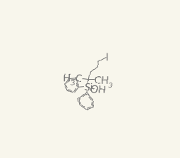 CC(C)(CCCI)[Si](O)(c1ccccc1)c1ccccc1